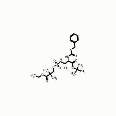 CCOC(=O)C(C)(C)COS(=O)(=O)N[C@@H](C)[C@H](NC(=O)OCc1ccccc1)C(=O)OC(C)(C)C